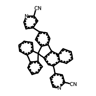 N#Cc1cc(-c2ccc3c(c2)C2(c4ccccc4-c4ccccc42)c2cc(-c4ccnc(C#N)c4)c4ccccc4c2-3)ccn1